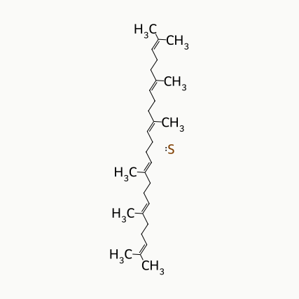 CC(C)=CCC/C(C)=C/CC/C(C)=C/CC/C=C(\C)CC/C=C(\C)CCC=C(C)C.[S]